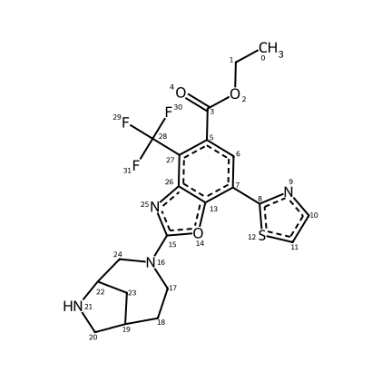 CCOC(=O)c1cc(-c2nccs2)c2oc(N3CCC4CNC(C4)C3)nc2c1C(F)(F)F